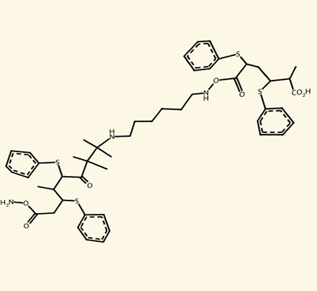 CC(C(=O)O)C(CC(Sc1ccccc1)C(=O)ONCCCCCCNC(C)(C)C(C)(C)C(=O)C(Sc1ccccc1)C(C)C(CC(=O)ON)Sc1ccccc1)Sc1ccccc1